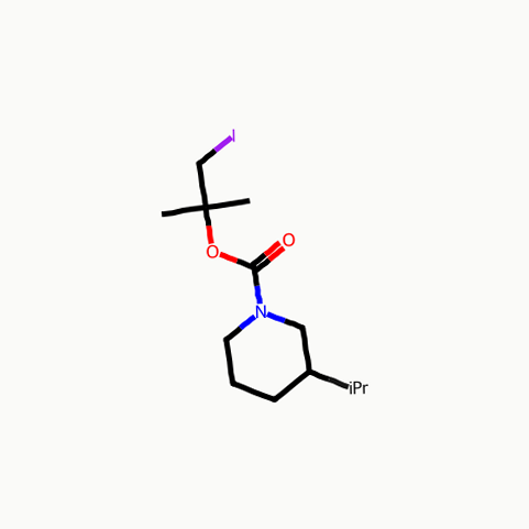 CC(C)C1CCCN(C(=O)OC(C)(C)CI)C1